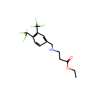 CCOC(=O)CCNCc1ccc(C(F)(F)F)c(C(F)(F)F)c1